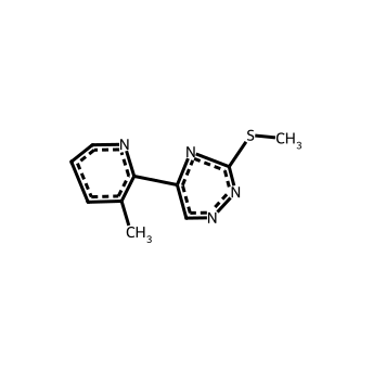 CSc1nncc(-c2ncccc2C)n1